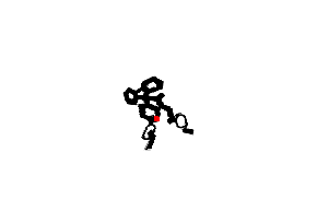 C=C(/C=C\C(=C/C)C1(/C(C)=C/C=C(\C)OCC)c2ccccc2-c2ccccc21)OCC